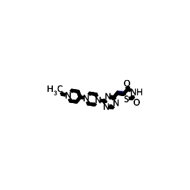 CCN1CCC(N2CCN(c3ncnc(/C=C4\SC(=O)NC4=O)n3)CC2)CC1